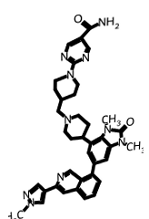 Cn1cc(-c2cc3cccc(-c4cc(C5CCN(CC6CCN(c7ncc(C(N)=O)cn7)CC6)CC5)c5c(c4)n(C)c(=O)n5C)c3cn2)cn1